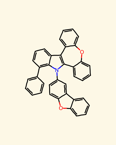 c1ccc(-c2cccc3c4c(n(-c5ccc6oc7ccccc7c6c5)c23)-c2ccccc2Oc2ccccc2-4)cc1